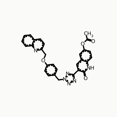 CC(=O)Oc1ccc2[nH]c(=O)c(-c3nnn(Cc4ccc(OCc5ccc6ccccc6n5)cc4)n3)cc2c1